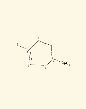 [2H]C1CC=C(C)CC1